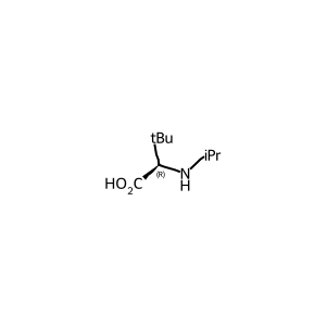 CC(C)N[C@@H](C(=O)O)C(C)(C)C